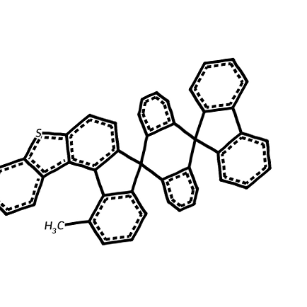 Cc1cccc2c1-c1c(ccc3sc4ccccc4c13)C21c2ccccc2C2(c3ccccc3-c3ccccc32)c2ccccc21